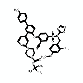 COc1ccc(CN(c2ncns2)S(=O)(=O)c2ccc(Oc3ccc(-c4ccc(C)cc4)cc3-c3ccnc(N4CCN(C(=O)OC(C)(C)C)CC4)c3)c(C#N)c2)c(C)c1